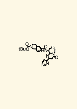 CC(C)(C)OC(=O)N1CCc2cc(C(=O)NC3COCCn4c3nc(-c3ccncn3)cc4=O)ccc2C1